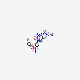 CC(C)N1C(=O)N(c2ccc(NS(=O)(=O)Cc3ccc(F)cc3)c(F)c2)C(C)(C)c2cnc(NC3CCC(N(C)C)CC3)nc21